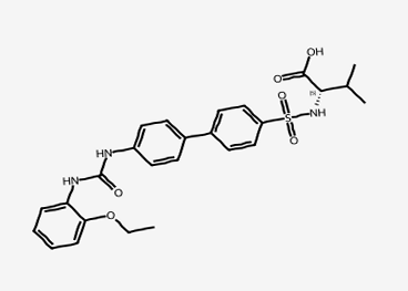 CCOc1ccccc1NC(=O)Nc1ccc(-c2ccc(S(=O)(=O)N[C@H](C(=O)O)C(C)C)cc2)cc1